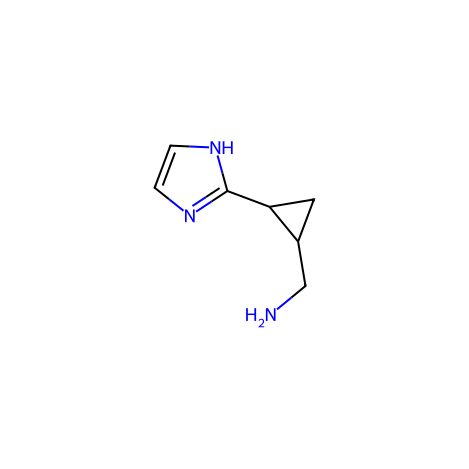 NCC1CC1c1ncc[nH]1